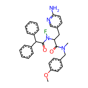 COc1ccc(CN(C)C(=O)C(Cc2ccc(N)nc2)N(F)C(=O)C(c2ccccc2)c2ccccc2)cc1